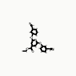 CCOC(=O)c1cc(Oc2cccc(C#N)c2)nc(Oc2cccc(C#N)c2)c1